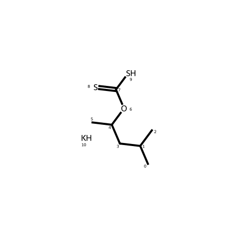 CC(C)CC(C)OC(=S)S.[KH]